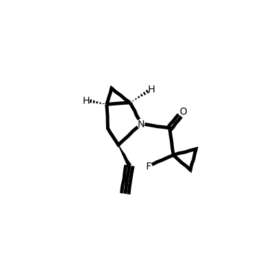 C#C[C@H]1C[C@H]2C[C@H]2N1C(=O)C1(F)CC1